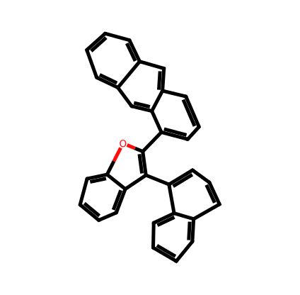 c1ccc2cc3c(-c4oc5ccccc5c4-c4cccc5ccccc45)cccc3cc2c1